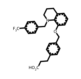 O=C(O)CCc1ccc(COc2cccc3c2N(Cc2ccc(C(F)(F)F)cc2)CCC3)cc1